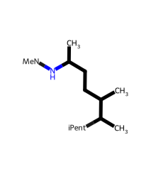 CCCC(C)C(C)C(C)CCC(C)NNC